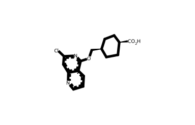 O=C(O)[C@H]1CC[C@@H](COc2nc(Cl)cc3ncccc23)CC1